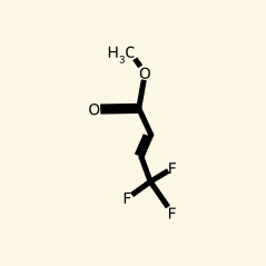 COC(=O)C=CC(F)(F)F